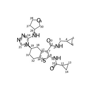 O=C(NCC1CC1)c1c(NC(=O)C2CC2)sc2c1C[C@H](n1cnnc1NC1CCOC1)CC2